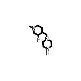 CN1CCC(CN2CCNCC2)C(F)C1